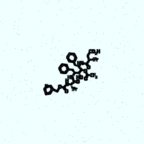 CC(C)C(CC(=O)O)C(=O)N[C@@H](Cc1ccccc1)[C@H](OC(=O)C(F)(F)F)[C@H](O)[C@H](Cc1ccccc1)NC(=O)[C@@H](NC(=O)OCc1cccnc1)C(C)C